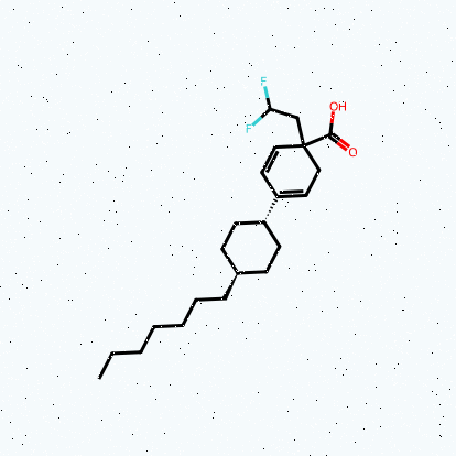 CCCCCCC[C@H]1CC[C@H](C2=CCC(CC(F)F)(C(=O)O)C=C2)CC1